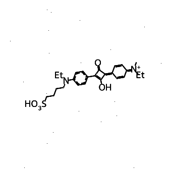 CCN(CCCCS(=O)(=O)O)c1ccc(C2=C(O)C(=C3C=CC(=[N+](C)CC)C=C3)C2=O)cc1